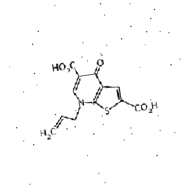 C=CCn1cc(C(=O)O)c(=O)c2cc(C(=O)O)sc21